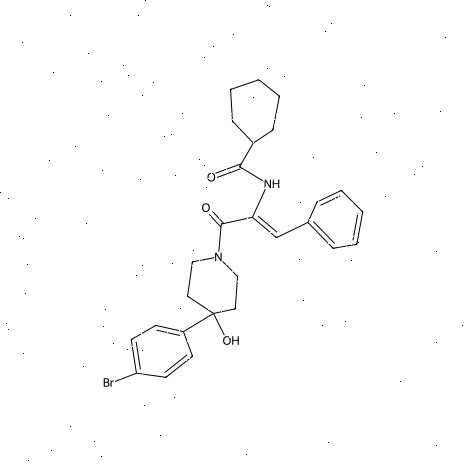 O=C(NC(=Cc1ccccc1)C(=O)N1CCC(O)(c2ccc(Br)cc2)CC1)C1CCCCC1